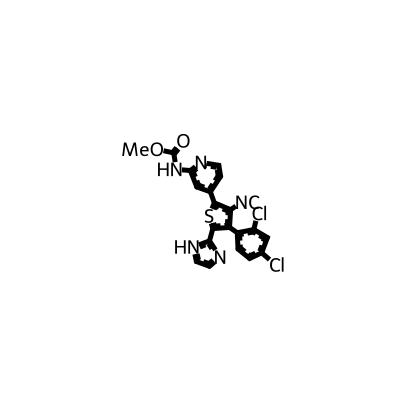 [C-]#[N+]c1c(-c2ccnc(NC(=O)OC)c2)sc(-c2ncc[nH]2)c1-c1ccc(Cl)cc1Cl